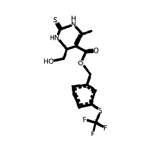 CC1=C(C(=O)OCc2cccc(SC(F)(F)F)c2)C(CO)NC(=S)N1